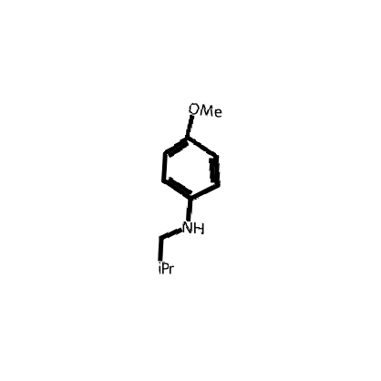 COc1ccc(NCC(C)C)cc1